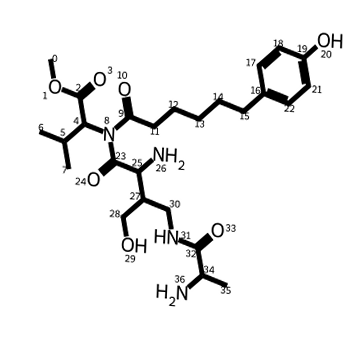 COC(=O)C(C(C)C)N(C(=O)CCCCCc1ccc(O)cc1)C(=O)C(N)C(CO)CNC(=O)C(C)N